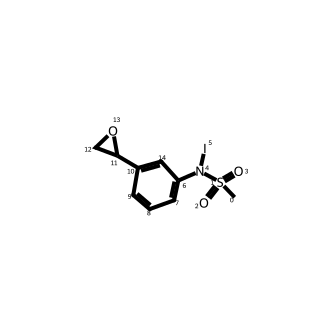 CS(=O)(=O)N(I)c1cccc(C2CO2)c1